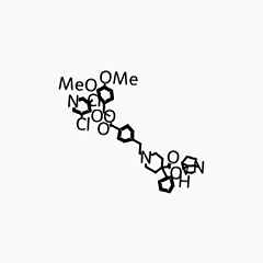 COc1ccc([C@@H](OC(=O)c2ccc(CCN3CCC(C(=O)O[C@H]4CN5CCC4CC5)(c4ccccc4)CC3)cc2)Oc2c(Cl)cncc2Cl)cc1OC